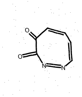 O=c1ccccnnc1=O